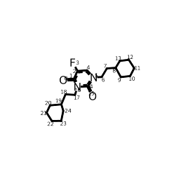 O=c1c(F)cn(CCC2CCCCC2)c(=O)n1CCC1CCCCC1